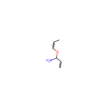 C=CC(N)O/C=C\C